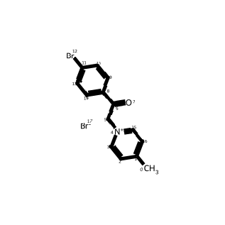 Cc1cc[n+](CC(=O)c2ccc(Br)cc2)cc1.[Br-]